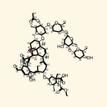 COC(=O)N[C@H]1[C@@H](C)O[C@@H](O[C@H]2C/C=C(\C)[C@@H]3C=C[C@@H]4[C@@H](O[C@H]5C[C@@H](O[C@H]6CC[C@@H](O[C@H]7C[C@@H](O)[C@@H](O[C@H]8CC[C@@H](O)[C@H](C)O8)[C@H](C)O7)[C@H](C)O6)[C@@H](OC(C)=O)[C@H](C)O5)[C@@H](C)C[C@H](C)[C@H]4[C@]3(C)C(=O)C3=C(O)C4(CC(C=O)=C[C@H](O)[C@H]4/C=C/2C)OC3=O)CC1(C)C(=O)O